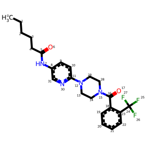 CCCCCC(=O)Nc1ccc(N2CCN(C(=O)c3ccccc3C(F)(F)F)CC2)nc1